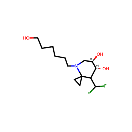 OCCCCCCN1C[C@@H](O)[C@H](O)C(C(F)F)C12CC2